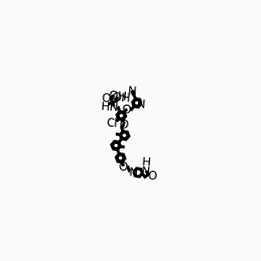 Cc1c(COc2cc(OCc3cncc(C#N)c3)c(CNC(C)(CO)C(=O)O)cc2Cl)cccc1-c1cccc(-c2ccc(OCCN3CCC4(CC3)CC(=O)N4)cc2)c1C